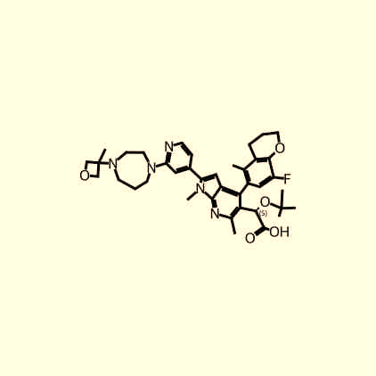 Cc1nc2c(cc(-c3ccnc(N4CCCN(C5(C)COC5)CC4)c3)n2C)c(-c2cc(F)c3c(c2C)CCCO3)c1[C@H](OC(C)(C)C)C(=O)O